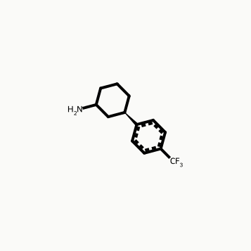 NC1CCC[C@@H](c2ccc(C(F)(F)F)cc2)C1